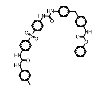 Cc1ccc(NC(=O)Nc2ccc(S(=O)(=O)c3ccc(NC(=O)Nc4ccc(Cc5ccc(NC(=O)Oc6ccccc6)cc5)cc4)cc3)cc2)cc1